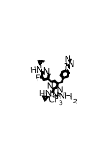 Nc1nc(NC2(C(F)(F)F)CC2)c2nc(-c3cnc(NC4CC4)c(F)c3)cc(Cc3ccc(-n4cncn4)cc3)c2n1